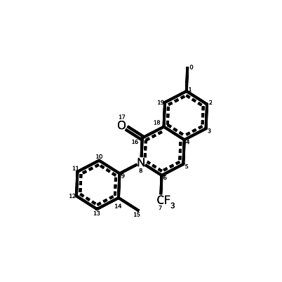 Cc1ccc2cc(C(F)(F)F)n(-c3ccccc3C)c(=O)c2c1